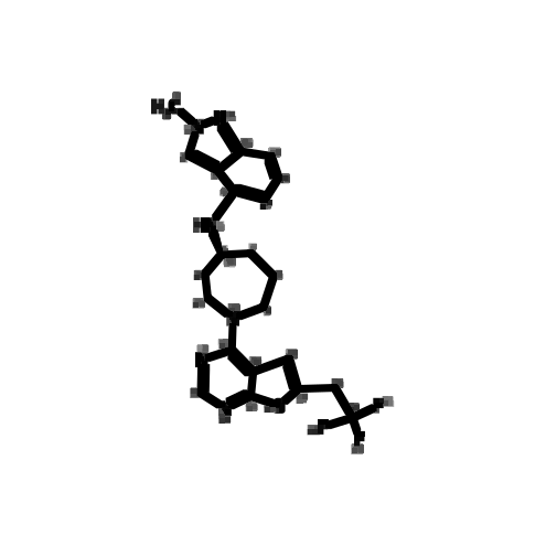 Cn1cc2c(N[C@H]3CCCN(c4ncnc5sc(CC(F)(F)F)cc45)CC3)cccc2n1